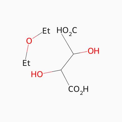 CCOCC.O=C(O)C(O)C(O)C(=O)O